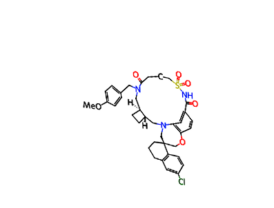 COc1ccc(CN2C[C@@H]3CC[C@H]3CN3C[C@@]4(CCCc5cc(Cl)ccc54)COc4ccc(cc43)C(=O)NS(=O)(=O)CCCC2=O)cc1